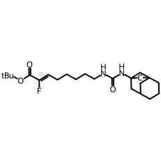 CC(C)(C)OC(=O)/C(F)=C/CCCCCNC(=O)NC12CC3CCCC(C3)(C1)C2